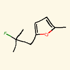 Cc1ccc(CC(C)(C)F)o1